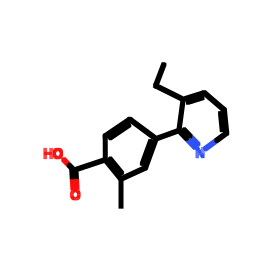 CCc1cccnc1-c1ccc(C(=O)O)c(C)c1